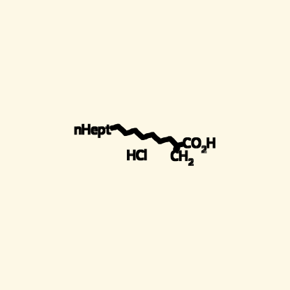 C=C(CCCCCCCCCCCCCC)C(=O)O.Cl